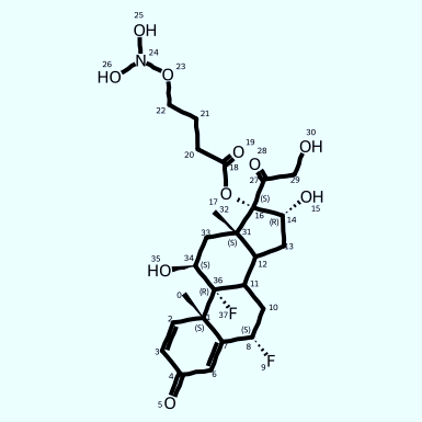 C[C@]12C=CC(=O)C=C1[C@@H](F)CC1C3C[C@@H](O)[C@](OC(=O)CCCON(O)O)(C(=O)CO)[C@@]3(C)C[C@H](O)[C@@]12F